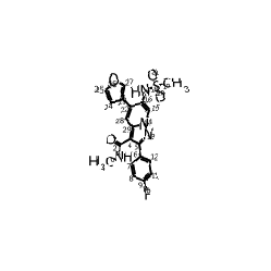 CNC(=O)c1c(-c2ccc(F)cc2)nn2cc(NS(C)(=O)=O)c(-c3ccoc3)cc12